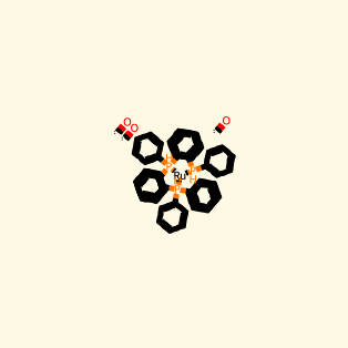 [C]=O.[C]=O.[C]=O.c1ccc([PH](c2ccccc2)(c2ccccc2)[Ru]([PH](c2ccccc2)(c2ccccc2)c2ccccc2)[PH](c2ccccc2)(c2ccccc2)c2ccccc2)cc1